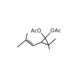 CC(=O)OC1(OC(C)=O)C(C=C(C)C)C1(C)C